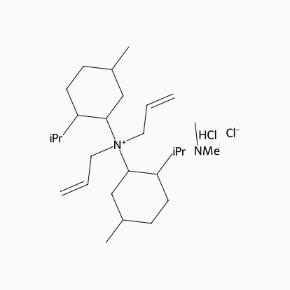 C=CC[N+](CC=C)(C1CC(C)CCC1C(C)C)C1CC(C)CCC1C(C)C.CNC.Cl.[Cl-]